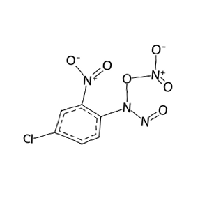 O=NN(O[N+](=O)[O-])c1ccc(Cl)cc1[N+](=O)[O-]